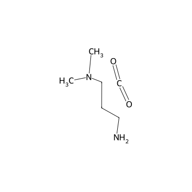 CN(C)CCCN.O=C=O